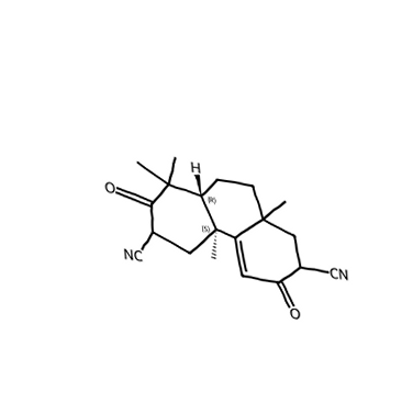 CC12CC[C@H]3C(C)(C)C(=O)C(C#N)C[C@]3(C)C1=CC(=O)C(C#N)C2